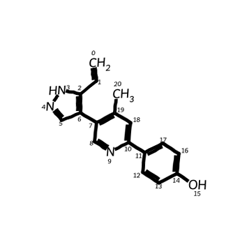 C=Cc1[nH]ncc1-c1cnc(-c2ccc(O)cc2)cc1C